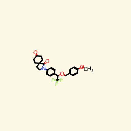 COc1ccc(CO[C@H](c2ccc(N3CCC4(CCC(=O)CC4)C3=O)cc2)C(F)(F)F)cc1